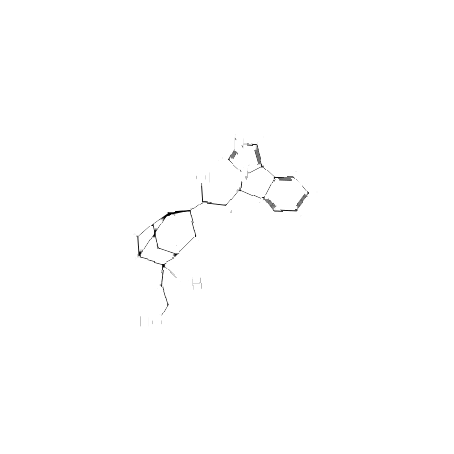 OCCC1(O)C2CC3CC1CC(C(O)CC1c4ccccc4-c4cncn41)(C3)C2